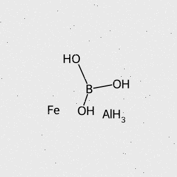 OB(O)O.[AlH3].[Fe]